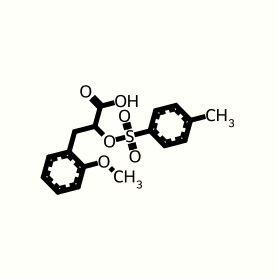 COc1ccccc1CC(OS(=O)(=O)c1ccc(C)cc1)C(=O)O